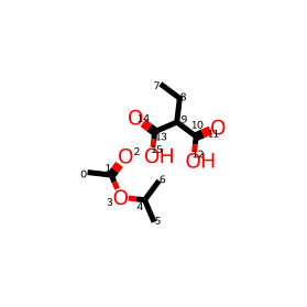 CC(=O)OC(C)C.CCC(C(=O)O)C(=O)O